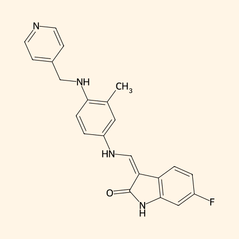 Cc1cc(NC=C2C(=O)Nc3cc(F)ccc32)ccc1NCc1ccncc1